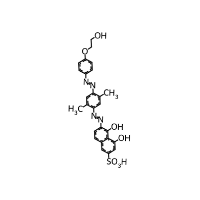 Cc1cc(/N=N/c2ccc3cc(S(=O)(=O)O)cc(O)c3c2O)c(C)cc1/N=N/c1ccc(OCCO)cc1